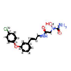 NC(=O)N(O)CC(=O)NC/C=C/c1cccc(Oc2ccc(Cl)cc2)c1